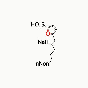 CCCCCCCCCCCCCCc1ccc(S(=O)(=O)O)o1.[NaH]